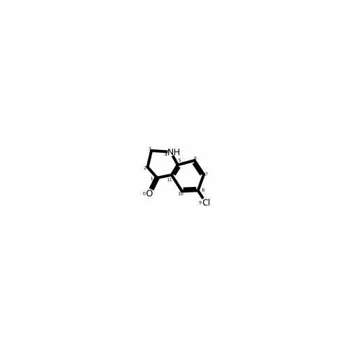 O=C1CCNc2ccc(Cl)cc21